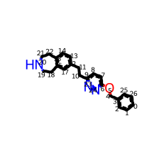 c1ccc(COc2ccc(CCc3ccc4c(c3)CCNCC4)nn2)cc1